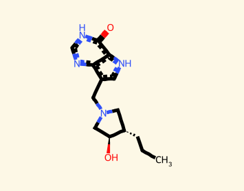 CCC[C@H]1CN(Cc2c[nH]c3c(=O)[nH]cnc23)C[C@@H]1O